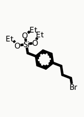 CCO[Si](Cc1ccc(CCCBr)cc1)(OCC)OCC